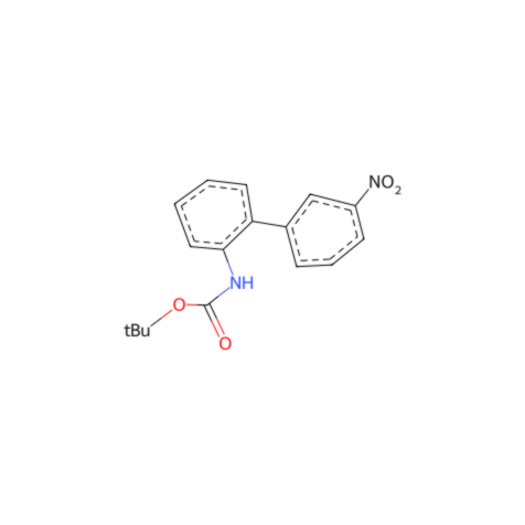 CC(C)(C)OC(=O)Nc1ccccc1-c1cccc([N+](=O)[O-])c1